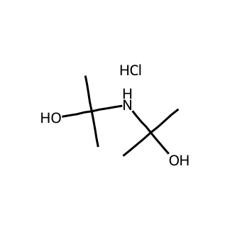 CC(C)(O)NC(C)(C)O.Cl